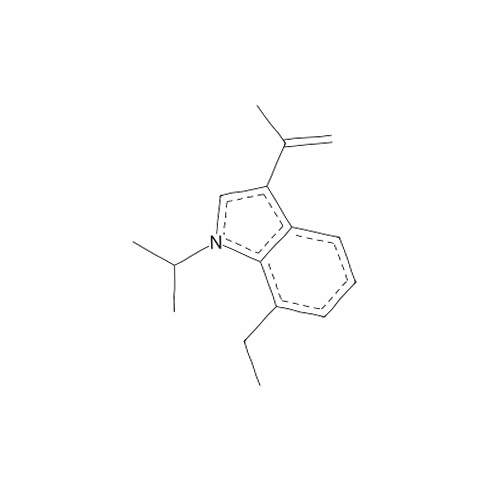 C=C(C)c1cn(C(C)C)c2c(CC)cccc12